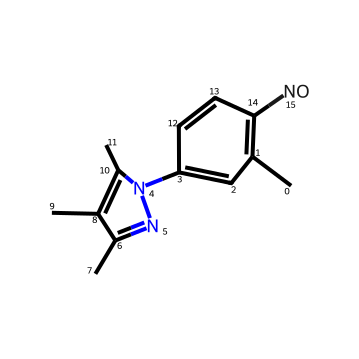 Cc1cc(-n2nc(C)c(C)c2C)ccc1N=O